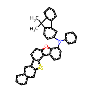 CC1(C)c2ccccc2-c2cc(N(c3ccccc3)c3cccc4c3oc3ccc5c6cc7ccccc7cc6sc5c34)ccc21